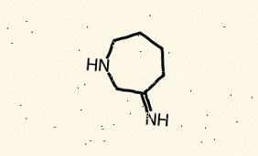 N=C1CCCCNC1